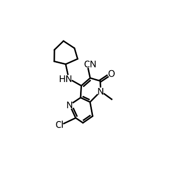 Cn1c(=O)c(C#N)c(NC2CCCCC2)c2nc(Cl)ccc21